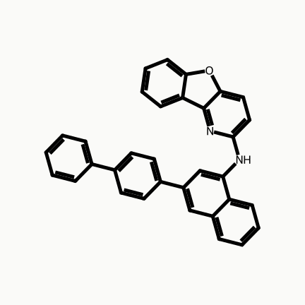 c1ccc(-c2ccc(-c3cc(Nc4ccc5oc6ccccc6c5n4)c4ccccc4c3)cc2)cc1